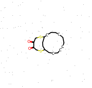 O=C1CSC2CCCCCCCCCCCC(CC2)SCC1=O